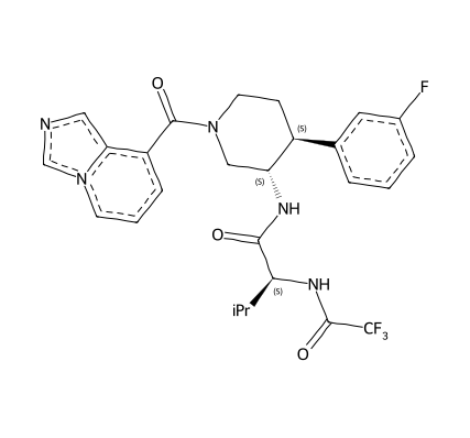 CC(C)[C@H](NC(=O)C(F)(F)F)C(=O)N[C@@H]1CN(C(=O)c2cccn3cncc23)CC[C@H]1c1cccc(F)c1